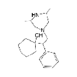 CC1CN(CC(c2ccccc2)C2(O)CCCCC2)CC(C)N1